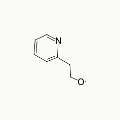 [O]CCc1ccccn1